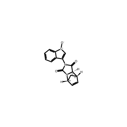 O=C1[C@H]2[C@@H]3C=C[C@@H](C3)N2C(=O)N1c1c[s+]([O-])c2ccccc12